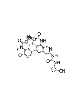 Cc1c(-c2cc3cc(NC(=O)NC4CCC4C#N)ncc3c(NC(=O)OC(C)(C)C)c2F)cnc2c1N(C(=O)OC(C)(C)C)CCO2